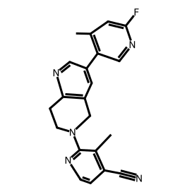 Cc1cc(F)ncc1-c1cnc2c(c1)CN(c1nccc(C#N)c1C)CC2